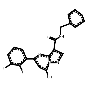 O=C(NCc1ccccc1)c1cnn2c(O)cc(-c3cccc(F)c3F)nc12